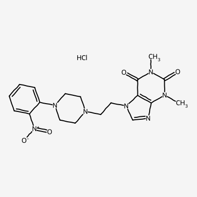 Cl.Cn1c(=O)c2c(ncn2CCN2CCN(c3ccccc3[N+](=O)[O-])CC2)n(C)c1=O